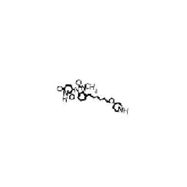 Cn1c(=O)n(C2CCC(=O)NC2=O)c2cccc(CCCCCCOC3CCNCC3)c21